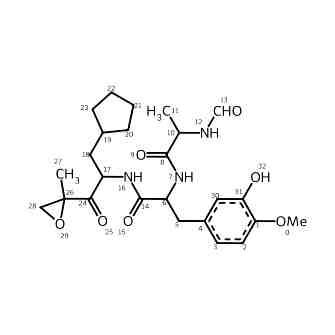 COc1ccc(CC(NC(=O)C(C)NC=O)C(=O)NC(CC2CCCC2)C(=O)C2(C)CO2)cc1O